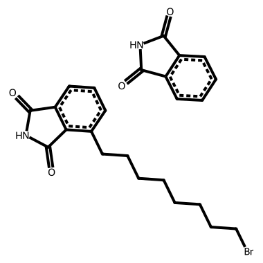 O=C1NC(=O)c2c(CCCCCCCCBr)cccc21.O=C1NC(=O)c2ccccc21